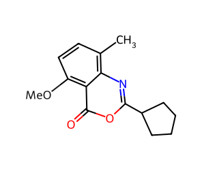 COc1ccc(C)c2nc(C3CCCC3)oc(=O)c12